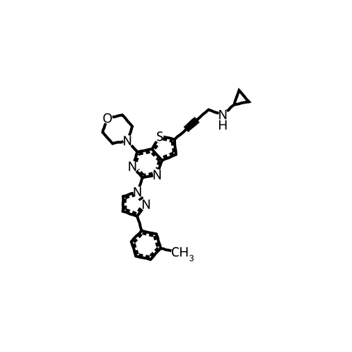 Cc1cccc(-c2ccn(-c3nc(N4CCOCC4)c4sc(C#CCNC5CC5)cc4n3)n2)c1